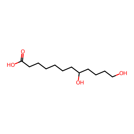 O=C(O)CCCCCCC(O)CCCCO